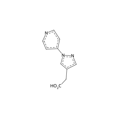 O=C(O)Cc1cnn(-c2ccncc2)c1